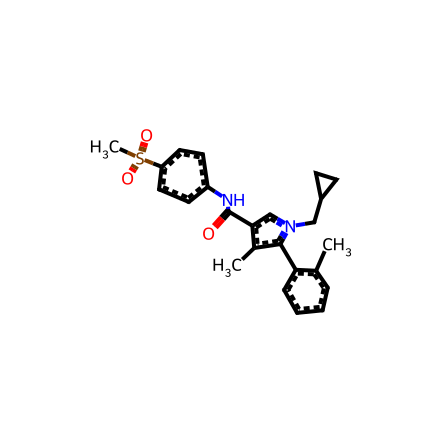 Cc1ccccc1-c1c(C)c(C(=O)Nc2ccc(S(C)(=O)=O)cc2)cn1CC1CC1